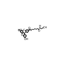 C#CCNC(=O)CCCCCNC(=O)c1ccc(-c2c3ccc(=O)cc-3oc3cc(O)ccc23)c(C(=O)O)c1